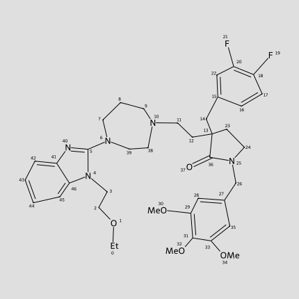 CCOCCn1c(N2CCCN(CCC3(Cc4ccc(F)c(F)c4)CCN(Cc4cc(OC)c(OC)c(OC)c4)C3=O)CC2)nc2ccccc21